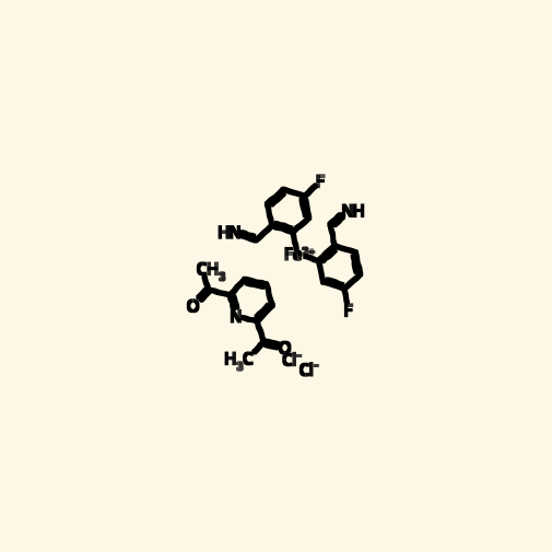 CC(=O)c1cccc(C(C)=O)n1.N=Cc1ccc(F)c[c]1[Fe+2][c]1cc(F)ccc1C=N.[Cl-].[Cl-]